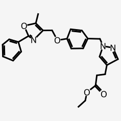 CCOC(=O)CCc1cnn(Cc2ccc(OCc3nc(-c4ccccc4)oc3C)cc2)c1